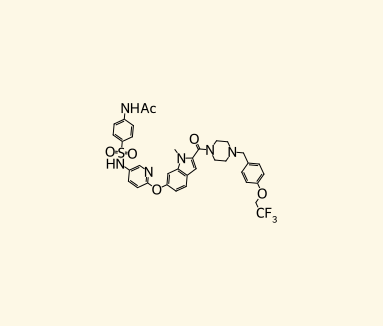 CC(=O)Nc1ccc(S(=O)(=O)Nc2ccc(Oc3ccc4cc(C(=O)N5CCN(Cc6ccc(OCC(F)(F)F)cc6)CC5)n(C)c4c3)nc2)cc1